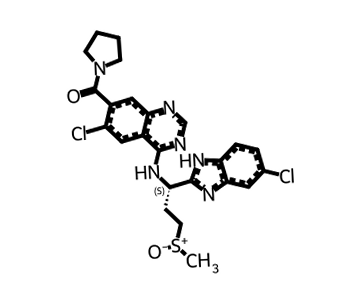 C[S+]([O-])CC[C@H](Nc1ncnc2cc(C(=O)N3CCCC3)c(Cl)cc12)c1nc2cc(Cl)ccc2[nH]1